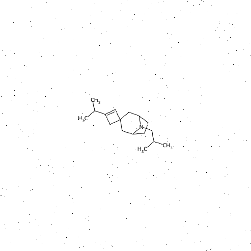 CC(C)CN1C2CCC1CC1(C=C(C(C)C)C1)C2